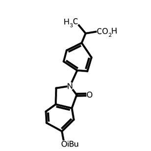 CC(C)COc1ccc2c(c1)C(=O)N(c1ccc(C(C)C(=O)O)cc1)C2